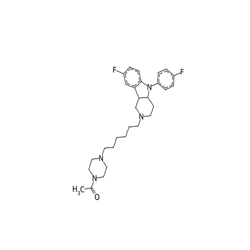 CC(=O)N1CCN(CCCCCCN2CCC3C(C2)c2cc(F)ccc2N3c2ccc(F)cc2)CC1